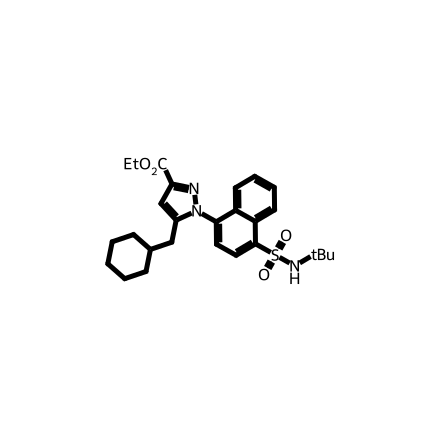 CCOC(=O)c1cc(CC2CCCCC2)n(-c2ccc(S(=O)(=O)NC(C)(C)C)c3ccccc23)n1